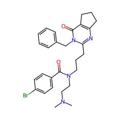 CN(C)CCN(CCCc1nc2c(c(=O)n1Cc1ccccc1)CCC2)C(=O)c1ccc(Br)cc1